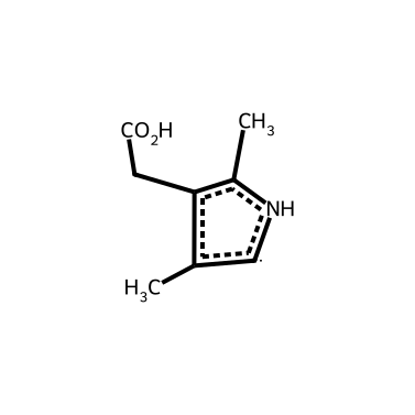 Cc1[c][nH]c(C)c1CC(=O)O